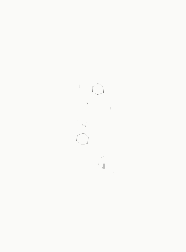 Cc1cccc(C)c1CN1CC2CN(c3cccc(CCC(N)=O)c3)CC2C1